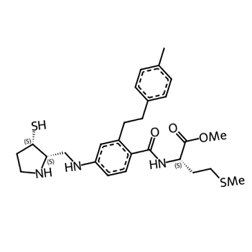 COC(=O)[C@H](CCSC)NC(=O)c1ccc(NC[C@@H]2NCC[C@@H]2S)cc1CCc1ccc(C)cc1